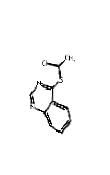 CC(Cl)Sc1ncnc2ccccc12